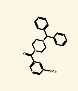 CNc1cncc(C(=O)N2CCN(C(c3ccccc3)c3ccccc3)CC2)c1